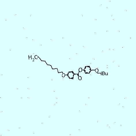 C=CCCCCCCCCOc1ccc(C(=O)Oc2ccc(OCC(C)CC)cc2)cc1